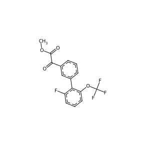 COC(=O)C(=O)c1cccc(-c2c(F)cccc2OC(F)(F)F)c1